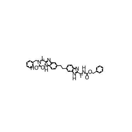 C[C@H](NC(=O)OCc1ccccc1)c1nc2ccc(CCc3ccc4[nH]c([C@H](C)N(Cc5ccccc5)C(=O)O)nc4c3)cc2[nH]1